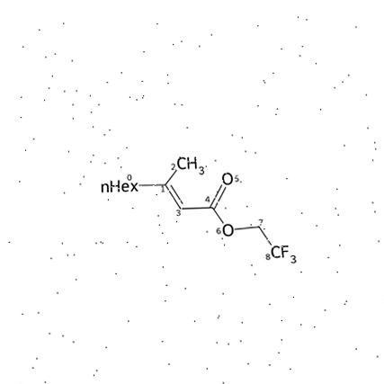 CCCCCC/C(C)=C/C(=O)OCC(F)(F)F